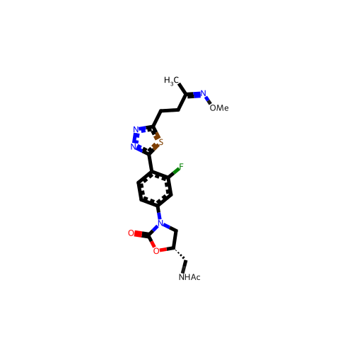 CO/N=C(/C)CCc1nnc(-c2ccc(N3C[C@H](CNC(C)=O)OC3=O)cc2F)s1